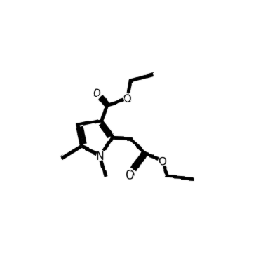 CCOC(=O)Cc1c(C(=O)OCC)cc(C)n1C